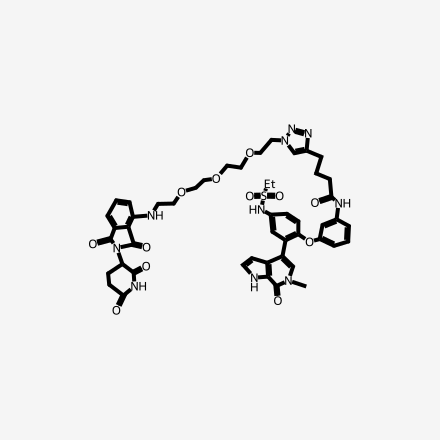 CCS(=O)(=O)Nc1ccc(Oc2cccc(NC(=O)CCCc3cn(CCOCCOCCOCCNc4cccc5c4C(=O)N(C4CCC(=O)NC4=O)C5=O)nn3)c2)c(-c2cn(C)c(=O)c3[nH]ccc23)c1